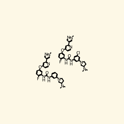 CN(C)C1CCN(c2cc(Cl)cc(NC(=O)Nc3cc(Oc4ccnc(-c5cnn(C)c5)c4)ccc3F)c2)C1.CN(C)C1CCN(c2cccc(NC(=O)Nc3cc(Oc4ccnc(-c5cnn(C)c5)c4)ccc3F)c2)C1